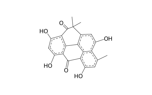 Cc1cc(O)c2c3c4c(cc(O)c13)C(C)(C)C(=O)c1c(O)cc(O)c(c1-4)C2=O